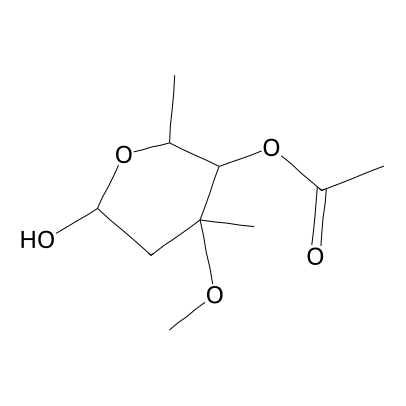 COC1(C)CC(O)OC(C)C1OC(C)=O